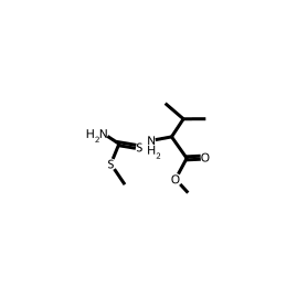 COC(=O)C(N)C(C)C.CSC(N)=S